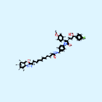 CC[C@@H](C)[C@@H](C)[C@H](C)[C@@H](C)CNC(=O)CCCCCCCCCCC(=O)NCc1ccc(N2C(=O)[C@H](CC[C@H](O)c3ccc(F)cc3)[C@H]2c2ccc(OC)cc2)cc1